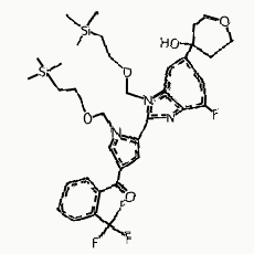 C[Si](C)(C)CCOCn1cc(C(=O)c2ccccc2C(F)(F)F)cc1-c1nc2c(F)cc(C3(O)CCOCC3)cc2n1COCC[Si](C)(C)C